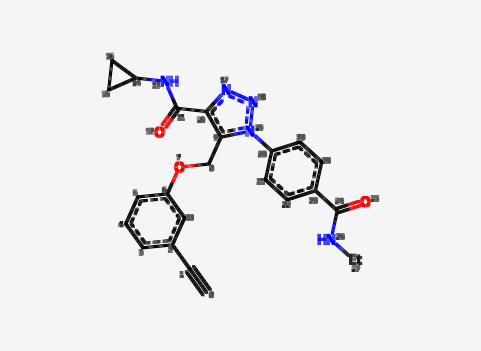 C#Cc1cccc(OCc2c(C(=O)NC3CC3)nnn2-c2ccc(C(=O)NCC)cc2)c1